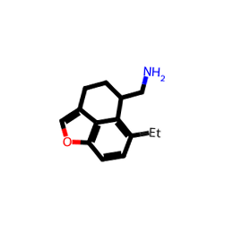 CCc1ccc2occ3c2c1C(CN)CC3